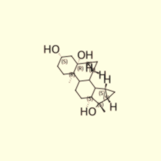 C[C@]12CCC3C(C1[C@@H]1C[C@@H]1[C@]2(C)O)[C@H]1C[C@H]1[C@]1(O)C[C@@H](O)CC[C@]31C